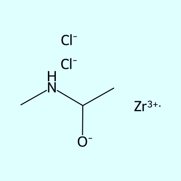 CNC(C)[O-].[Cl-].[Cl-].[Zr+3]